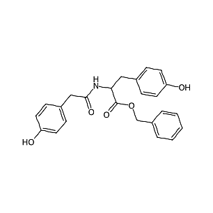 O=C(Cc1ccc(O)cc1)NC(Cc1ccc(O)cc1)C(=O)OCc1ccccc1